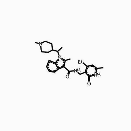 CCc1cc(C)[nH]c(=O)c1CNC(=O)c1c(C)n(C(C)C2CCN(C)CC2)c2ccccc12